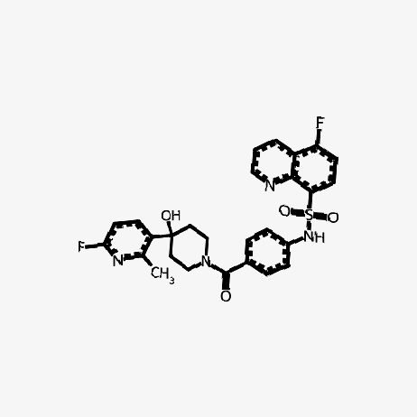 Cc1nc(F)ccc1C1(O)CCN(C(=O)c2ccc(NS(=O)(=O)c3ccc(F)c4cccnc34)cc2)CC1